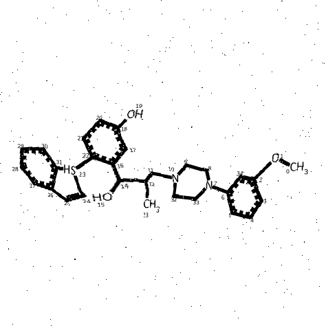 COc1cccc(N2CCN(CC(C)C(O)c3cc(O)ccc3[SH]3C=Cc4ccccc43)CC2)c1